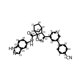 N#Cc1ccc(-c2cncc(C3=NOC4(C(=O)Nc5ccc6[nH]ncc6c5)C5CCC(C5)C34)c2)cc1